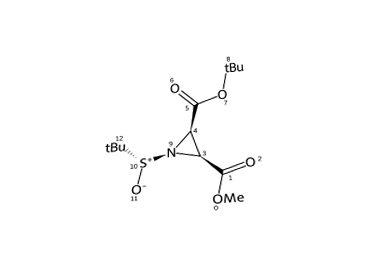 COC(=O)[C@@H]1[C@H](C(=O)OC(C)(C)C)[N@]1[S@+]([O-])C(C)(C)C